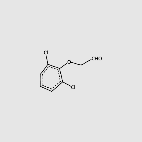 O=CCOc1c(Cl)cccc1Cl